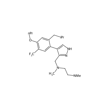 CCCOc1cc(CC(C)C)c(-c2c[nH]nc2CN(C)CCNC)cc1C(F)(F)F